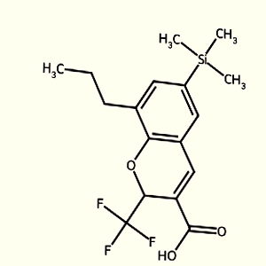 CCCc1cc([Si](C)(C)C)cc2c1OC(C(F)(F)F)C(C(=O)O)=C2